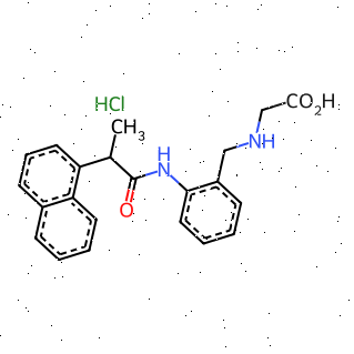 CC(C(=O)Nc1ccccc1CNCC(=O)O)c1cccc2ccccc12.Cl